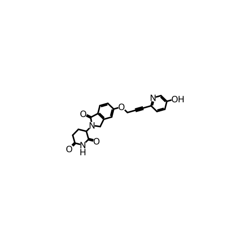 O=C1CCC(N2Cc3cc(OCC#Cc4ccc(O)cn4)ccc3C2=O)C(=O)N1